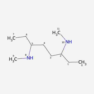 CCC(CCC(CC)NC)NC